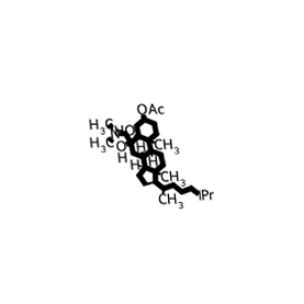 CC(=O)OC1CC[C@]2(C)[C@H]3CC[C@]4(C)[C@@H]([C@H](C)CCCC(C)C)CC[C@H]4[C@@H]3CC(O)(CN(C)C)C2(O)C1